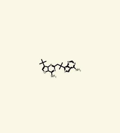 CC(C)(C)C1=COC2C(N)=NC(CC(C)(C)c3scc4c(N)ncnc34)=NC12